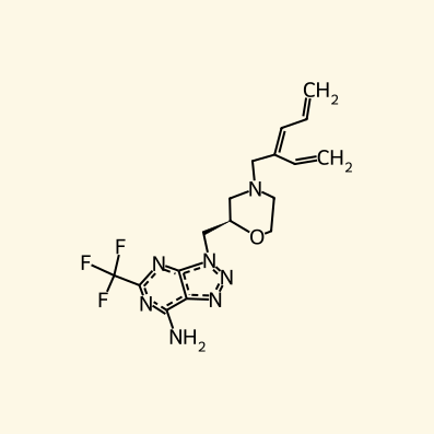 C=C/C=C(\C=C)CN1CCO[C@@H](Cn2nnc3c(N)nc(C(F)(F)F)nc32)C1